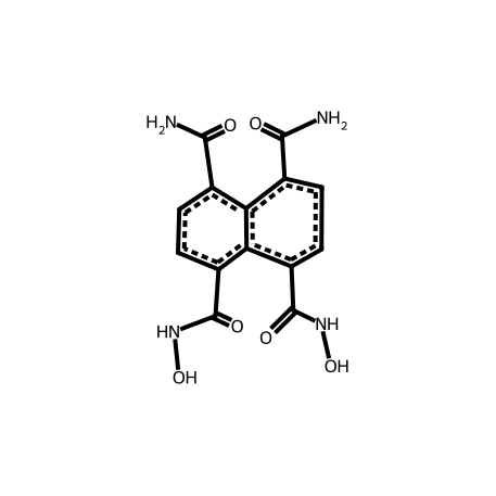 NC(=O)c1ccc(C(=O)NO)c2c(C(=O)NO)ccc(C(N)=O)c12